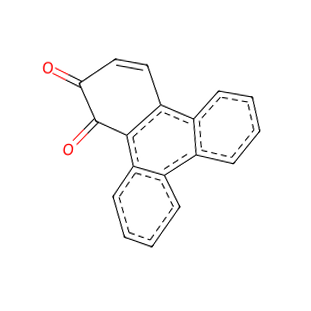 O=C1C=Cc2c(c3ccccc3c3ccccc23)C1=O